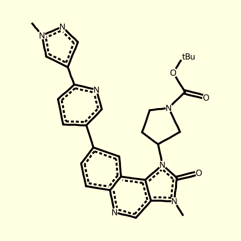 Cn1cc(-c2ccc(-c3ccc4ncc5c(c4c3)n(C3CCN(C(=O)OC(C)(C)C)C3)c(=O)n5C)cn2)cn1